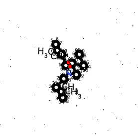 CC1(C)c2ccccc2-c2ccc(-c3ccc(N(c4ccc(-c5cccc6c5C(C)(C)c5ccccc5-6)cc4)c4ccccc4-c4ccccc4-c4ccccc4-c4ccccc4)cc3)cc21